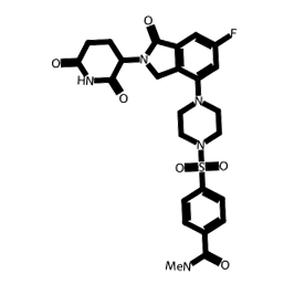 CNC(=O)c1ccc(S(=O)(=O)N2CCN(c3cc(F)cc4c3CN(C3CCC(=O)NC3=O)C4=O)CC2)cc1